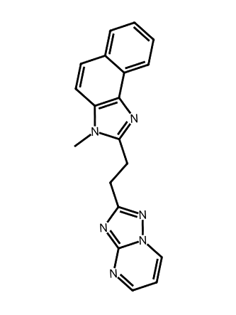 Cn1c(CCc2nc3ncccn3n2)nc2c3ccccc3ccc21